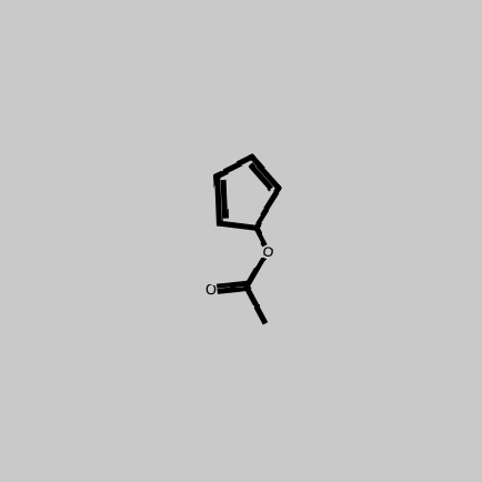 CC(=O)OC1C=CC=C1